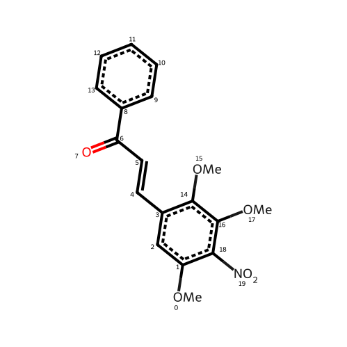 COc1cc(C=CC(=O)c2ccccc2)c(OC)c(OC)c1[N+](=O)[O-]